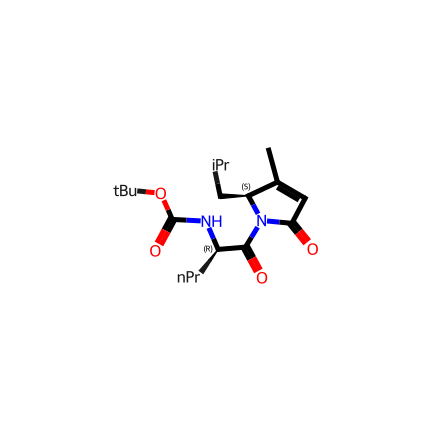 CCC[C@@H](NC(=O)OC(C)(C)C)C(=O)N1C(=O)C=C(C)[C@@H]1CC(C)C